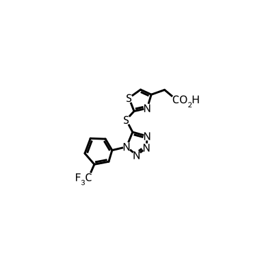 O=C(O)Cc1csc(Sc2nnnn2-c2cccc(C(F)(F)F)c2)n1